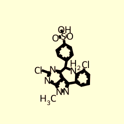 Cn1nc(-c2cccc(Cl)c2)c2c(C(N)c3ccc(S(=O)(=O)O)cc3)nc(Cl)nc21